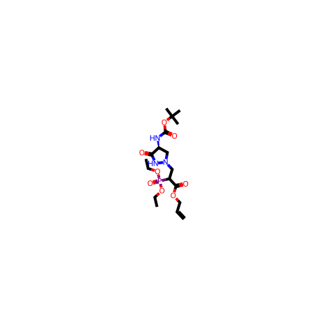 C=CCOC(=O)C(CN1C[C@H](NC(=O)OC(C)(C)C)C(=O)N1)P(=O)(OCC)OCC